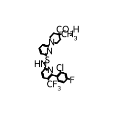 CC1(C(=O)O)CCN(c2cccc(SNc3ccc(C(F)(F)F)c(-c4ccc(F)cc4Cl)n3)n2)CC1